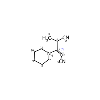 CC(C#N)/C(=N/C#N)N1CCCCC1